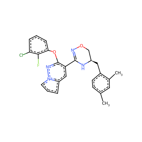 Cc1ccc(C[C@@H]2CON=C(c3cc4cccn4nc3Oc3cccc(Cl)c3F)N2)c(C)c1